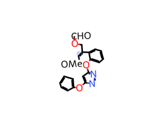 CO/C=C(/COC=O)c1ccccc1Oc1cc(Oc2ccccc2)ncn1